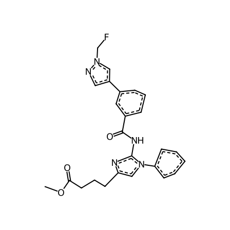 COC(=O)CCCc1cn(-c2ccccc2)c(NC(=O)c2cccc(-c3cnn(CF)c3)c2)n1